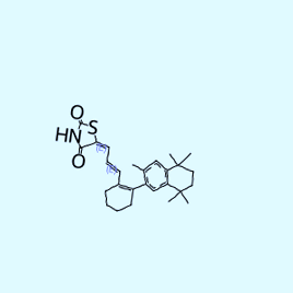 Cc1cc2c(cc1C1=C(/C=C/C=C3/SC(=O)NC3=O)CCCC1)C(C)(C)CCC2(C)C